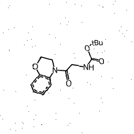 CC(C)(C)OC(=O)NCC(=O)N1CCOc2ccccc21